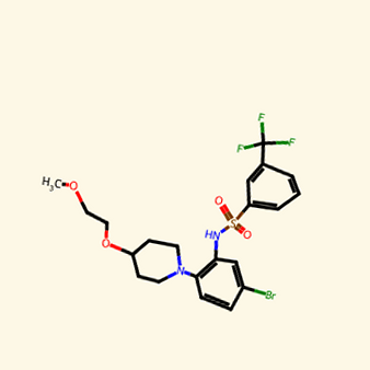 COCCOC1CCN(c2ccc(Br)cc2NS(=O)(=O)c2cccc(C(F)(F)F)c2)CC1